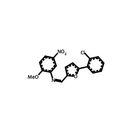 COc1ccc([N+](=O)[O-])cc1/N=C\c1ccc(-c2ccccc2Cl)o1